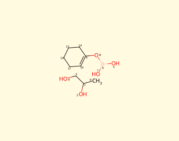 CC(O)CO.OB(O)OC1=CCCCC1